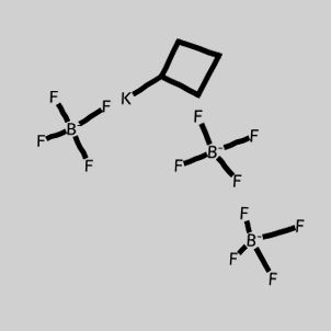 F[B-](F)(F)F.F[B-](F)(F)F.F[B-](F)(F)F.[K][CH]1CCC1